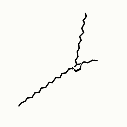 CCCCCCCCCCCCCCCCN1C=CN(CCCC)C1CCCCCCCCCCCCC